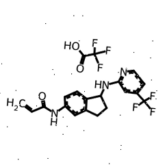 C=CC(=O)Nc1ccc2c(c1)CCC2Nc1cc(C(F)(F)F)ccn1.O=C(O)C(F)(F)F